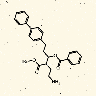 CC(C)(C)OC(=O)C(CCN)C(CCc1ccc(-c2ccccc2)cc1)OC(=O)c1ccccc1